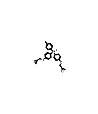 Cc1ccc(P(=O)(c2ccc(OCC3CO3)cc2)c2ccc(OCC3CO3)cc2)cc1